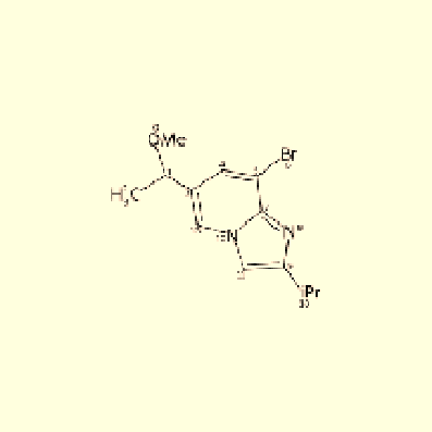 COC(C)c1cc(Br)c2nc(C(C)C)cn2c1